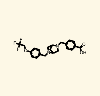 O=C(O)c1ccc(CN2CC3CC2CN3Cc2ccc(OCC(F)(F)F)cc2)cc1